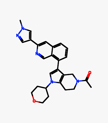 CC(=O)N1CCc2c(c(-c3cccc4cc(-c5cnn(C)c5)ncc34)cn2C2CCOCC2)C1